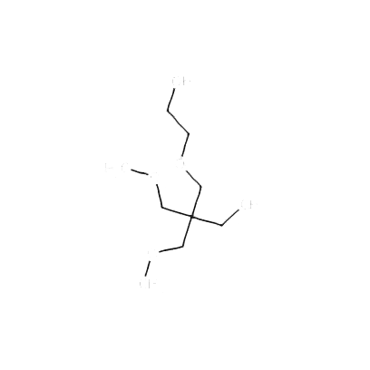 CCC(COC)(COC)COCCO